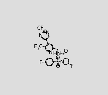 C[C@H]1[C@H](F)C[C@@H](C(=O)NCc2cc(-c3cnc(C(F)(F)F)nc3)c(C(F)(F)F)cn2)N1S(=O)(=O)c1ccc(F)cc1